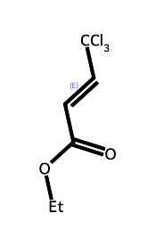 CCOC(=O)/C=C/C(Cl)(Cl)Cl